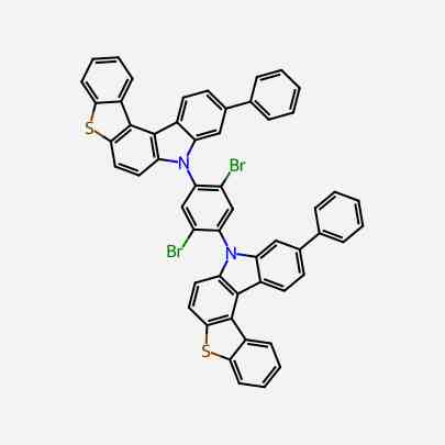 Brc1cc(-n2c3cc(-c4ccccc4)ccc3c3c4c(ccc32)sc2ccccc24)c(Br)cc1-n1c2cc(-c3ccccc3)ccc2c2c3c(ccc21)sc1ccccc13